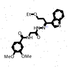 CCOCC/C(=N\NC(=O)CNC(=O)c1ccc(OC)c(OC)c1)c1csc2ccccc12